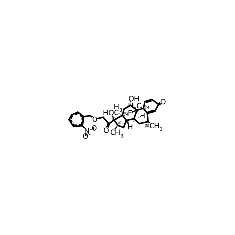 C[C@@H]1C[C@H]2[C@@H]3C[C@H](C)C4=CC(=O)C=C[C@]4(C)[C@@]3(F)[C@@H](O)C[C@]2(C)[C@@]1(O)C(=O)COCc1ccccc1[N+](=O)[O-]